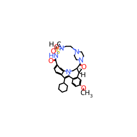 COc1ccc2c(c1)[C@H]1C[C@@]13Cn1c-2c(C2CCCCC2)c2ccc(cc21)C(=O)NS(=O)(=O)N(C)CCN1CCN(CC1)C3=O